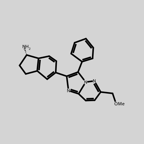 COCc1ccc2nc(-c3ccc4c(c3)CC[C@@H]4N)c(-c3ccccc3)n2n1